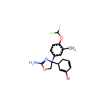 Cc1cc([C@@]2(C3C=C(Br)C=CC3)COC(N)=N2)ccc1OC(F)F